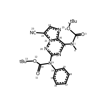 CN(C(=O)OC(C)(C)C)c1nc(N(C(=O)OC(C)(C)C)c2ccccc2)nn2c(C#N)cnc12